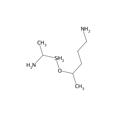 CC(CCCN)O[SiH2]C(C)N